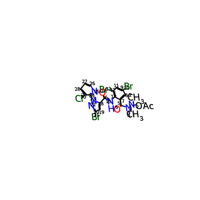 CC(=O)ON(C)N(C)C(=O)c1cc(Br)cc(Br)c1NC(=O)c1cc(Br)nn1-c1ncccc1Cl